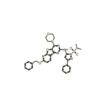 CN(C)S(=O)(=O)n1nc(-c2ccccc2)cc1Nc1nc(N2CCOCC2)c2oc3nc(OCc4ccccc4)ccc3c2n1